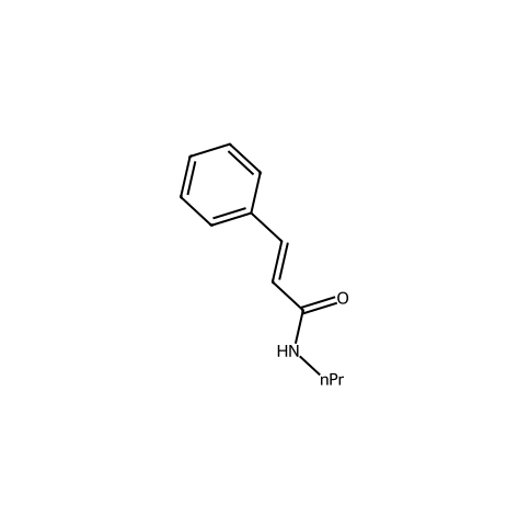 CCCNC(=O)/C=C/c1ccccc1